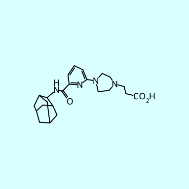 O=C(O)CCN1CCN(c2cccc(C(=O)NC3C4CC5CC(C4)CC3C5)n2)CC1